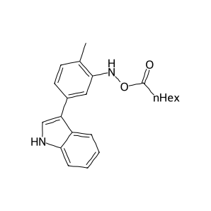 CCCCCCC(=O)ONc1cc(-c2c[nH]c3ccccc23)ccc1C